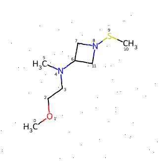 COCCN(C)C1CN(SC)C1